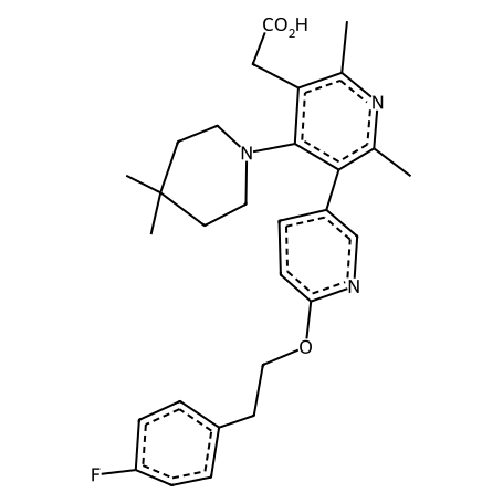 Cc1nc(C)c(-c2ccc(OCCc3ccc(F)cc3)nc2)c(N2CCC(C)(C)CC2)c1CC(=O)O